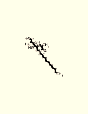 CCCCCCCCCCCCN(C[C@H](O)[C@@H](O)[C@H](O)[C@H](O)CO)C(=O)CC